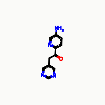 Nc1ccc(C(=O)Cc2cncnc2)nc1